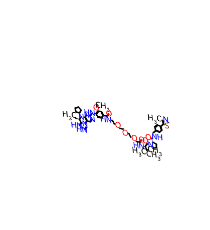 CC[C@@H]1C(=N)N(C=N)c2cnc(Nc3ccc(C(=O)NCCOCCOCCOCC(=O)N[C@H](C(=O)N4CCC[C@H]4C(=O)NCc4ccc(-c5scnc5C)cc4)C(C)(C)C)cc3OC)nc2N1C1CCCC1